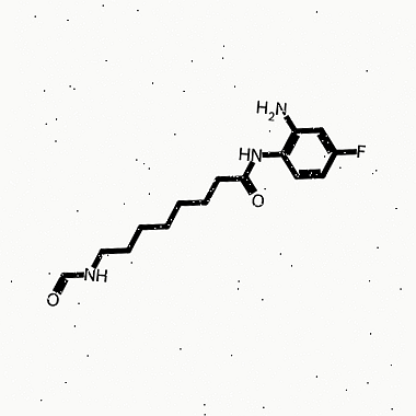 Nc1cc(F)ccc1NC(=O)CCCCCCCNC=O